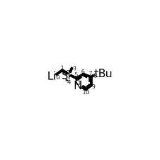 [Li][CH2][Si](C)(C)c1cc(C(C)(C)C)ccn1